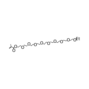 C=C(C)C(=O)OCCOCCOCCOCCOCCOCCOCCOCCOCCOCC